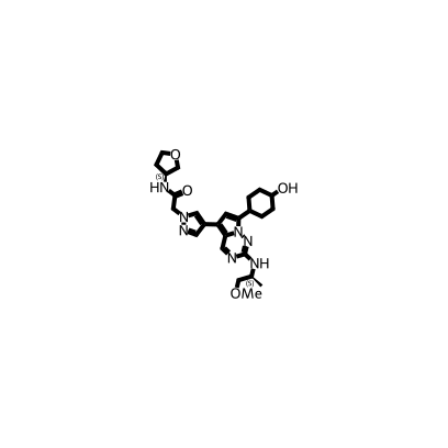 COC[C@H](C)Nc1ncc2c(-c3cnn(CC(=O)N[C@H]4CCOC4)c3)cc(C3CCC(O)CC3)n2n1